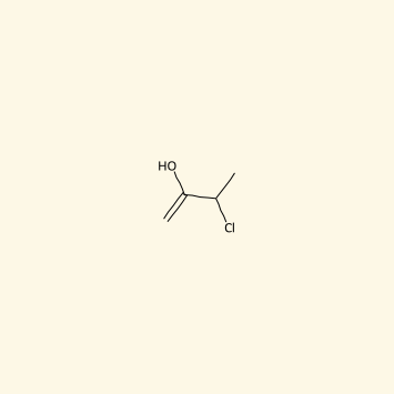 C=C(O)C(C)Cl